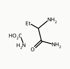 CCC(N)C(N)=O.NC(=O)O